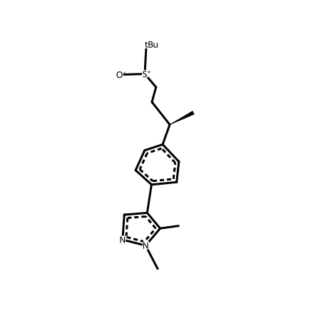 Cc1c(-c2ccc([C@H](C)CC[S+]([O-])C(C)(C)C)cc2)cnn1C